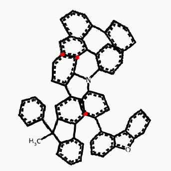 CC1(c2ccccc2)c2ccccc2-c2ccc(-c3ccccc3N(c3ccc(-c4cccc5oc6ccccc6c45)cc3)c3ccccc3-c3cccc4cccc(-c5ccccc5)c34)cc21